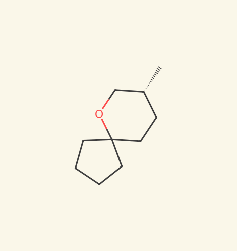 C[C@@H]1CCC2(CCCC2)OC1